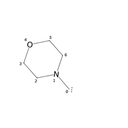 [C]N1CCOCC1